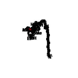 CC[C@]1(O)C[C@@H]2C[N@@](CCc3c([nH]c4ccccc34)[C@@](C(=O)OC)(c3cc4c(cc3OC)N(C)[C@H]3[C@@](O)(C(=O)NCCC[Si](C)(C)O[Si](C)(C)CSc5ncc(COCCOCCOCCOCCOCCOCCN=[N+]=[N-])cn5)[C@H](O)[C@]5(C)C=CCN6CC[C@]43[C@@H]65)C2)C1